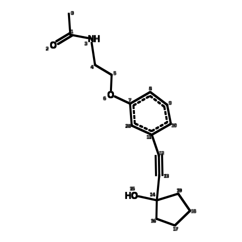 CC(=O)NCCOc1cccc(C#CC2(O)CCCC2)c1